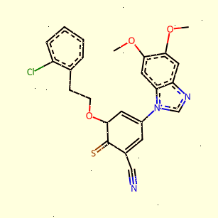 COc1cc2ncn(C3=CC(OCCc4ccccc4Cl)C(=S)C(C#N)=C3)c2cc1OC